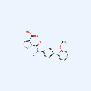 COc1ccccc1-c1ccc(N(Cl)C(=O)c2cscc2C(=O)O)cc1